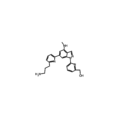 CNc1cc(-c2cccc(CCCN)n2)cc2c1cnn2-c1cccc(CO)n1